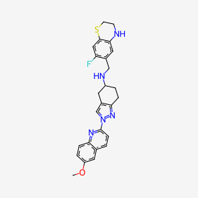 COc1ccc2nc(-n3cc4c(n3)CCC(NCc3cc5c(cc3F)SCCN5)C4)ccc2c1